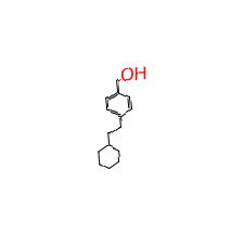 OCc1ccc(CCC2CCCCC2)cc1